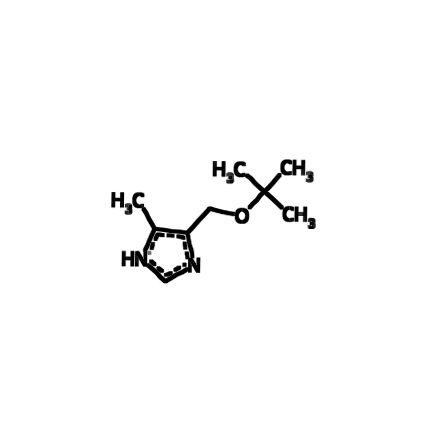 Cc1[nH]cnc1COC(C)(C)C